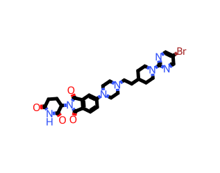 O=C1CCC(N2C(=O)c3ccc(N4CCN(CCC5CCN(c6ncc(Br)cn6)CC5)CC4)cc3C2=O)C(=O)N1